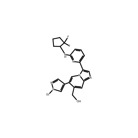 CCn1cc(-c2cn3c(-c4cccc(NC5CCCC5(F)F)n4)cnc3cc2CO)cn1